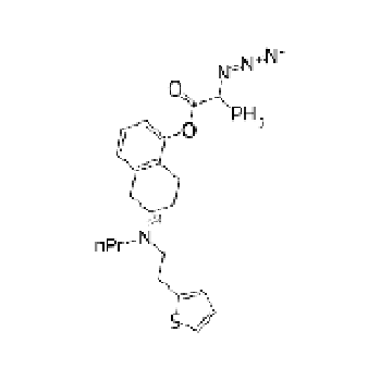 CCCN(CCc1cccs1)[C@H]1CCc2c(cccc2OC(=O)C(P)N=[N+]=[N-])C1